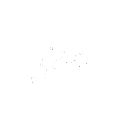 Clc1ccc(Nc2ncnc3cnc(NC4CC4)nc23)cc1Cl